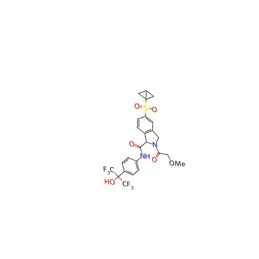 COCC(=O)N1Cc2cc(S(=O)(=O)C34CC3C4)ccc2C1C(=O)Nc1ccc(C(O)(C(F)(F)F)C(F)(F)F)cc1